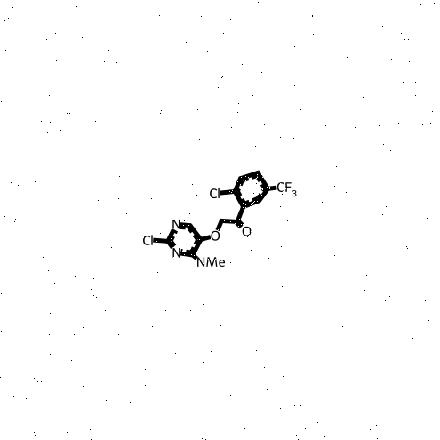 CNc1nc(Cl)ncc1OCC(=O)c1cc(C(F)(F)F)ccc1Cl